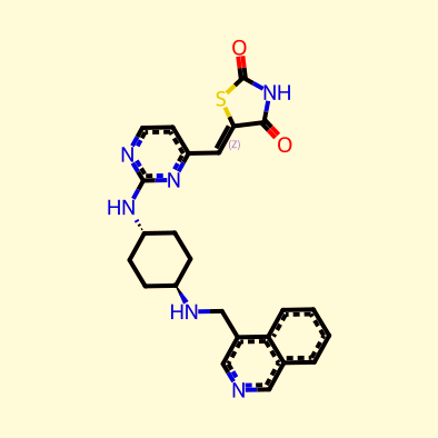 O=C1NC(=O)/C(=C/c2ccnc(N[C@H]3CC[C@H](NCc4cncc5ccccc45)CC3)n2)S1